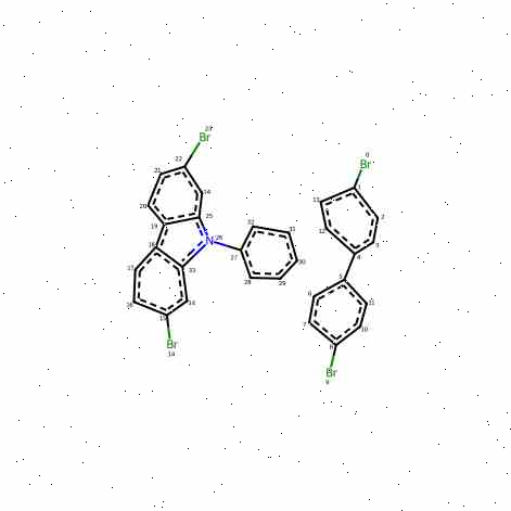 Brc1ccc(-c2ccc(Br)cc2)cc1.Brc1ccc2c3ccc(Br)cc3n(-c3ccccc3)c2c1